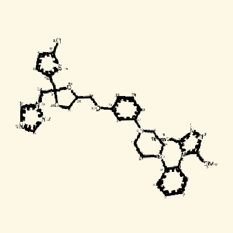 CCCCCc1nnc(SC)n1-c1ccccc1N1CCN(c2cccc(OCC3COC(Cn4cncn4)(c4ccc(Cl)s4)O3)c2)CC1